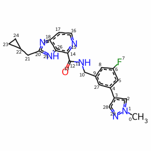 Cn1cc(-c2cc(F)cc(CNC(=O)c3nccc4nc(CC5CC5)[nH]c34)c2)cn1